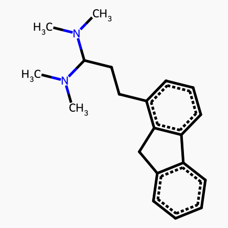 CN(C)C(CCc1cccc2c1Cc1ccccc1-2)N(C)C